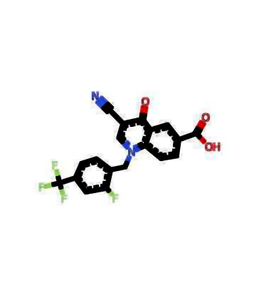 N#Cc1cn(Cc2ccc(C(F)(F)F)cc2F)c2ccc(C(=O)O)cc2c1=O